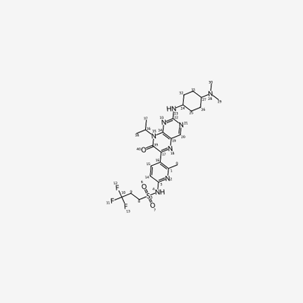 Cc1nc(NS(=O)(=O)CCC(F)(F)F)ccc1-c1nc2cnc(NC3CCC(N(C)C)CC3)nc2n(C(C)C)c1=O